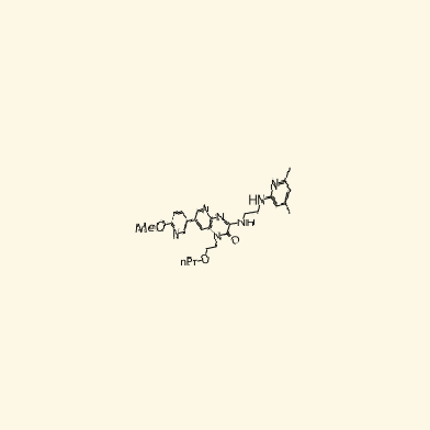 CCCOCCn1c(=O)c(NCCNc2cc(C)cc(C)n2)nc2ncc(-c3ccc(OC)nc3)cc21